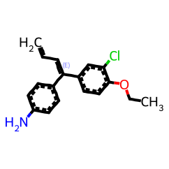 C=C/C=C(\c1ccc(N)cc1)c1ccc(OCC)c(Cl)c1